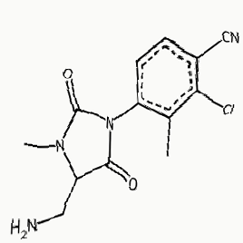 Cc1c(N2C(=O)C(CN)N(C)C2=O)ccc(C#N)c1Cl